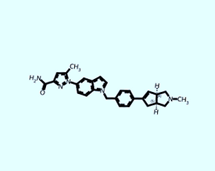 Cc1cc(C(N)=O)nn1-c1ccc2c(ccn2Cc2ccc(C3=C[C@H]4CN(C)C[C@H]4C3)cc2)c1